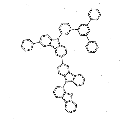 c1ccc(-c2cc(-c3ccccc3)cc(-c3cccc(-n4c5ccc(-c6ccccc6)cc5c5cc(-c6ccc7c(c6)c6ccccc6n7-c6cccc7c6oc6ccccc67)ccc54)c3)c2)cc1